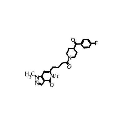 Cn1ncc2c(=O)[nH]c(CCCC(=O)N3CCC(C(=O)c4ccc(F)cc4)CC3)cc21